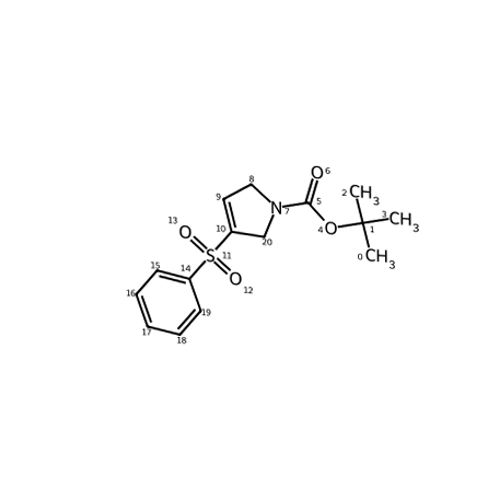 CC(C)(C)OC(=O)N1CC=C(S(=O)(=O)c2ccccc2)C1